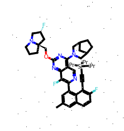 Cc1cc(-c2ncc3c(N4CC5CCC(C5)C4)nc(OC[C@@]45CCCN4C[C@H](F)C5)nc3c2F)c2c(C#C[Si](C(C)C)(C(C)C)C(C)C)c(F)ccc2c1